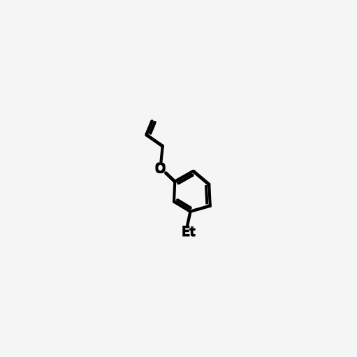 C=CCOc1cccc(CC)c1